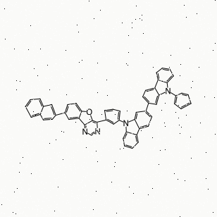 c1ccc(-n2c3ccccc3c3ccc(-c4ccc5c6ccccc6n(-c6cccc(-c7ncnc8c7oc7ccc(-c9ccc%10ccccc%10c9)cc78)c6)c5c4)cc32)cc1